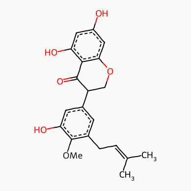 COc1c(O)cc(C2COc3cc(O)cc(O)c3C2=O)cc1CC=C(C)C